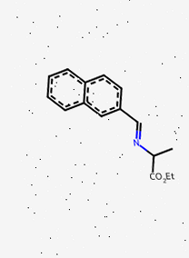 CCOC(=O)C(C)N=Cc1ccc2ccccc2c1